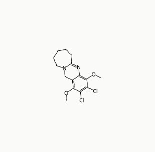 COc1c(Cl)c(Cl)c(OC)c2c1CN1CCCCCC1=N2